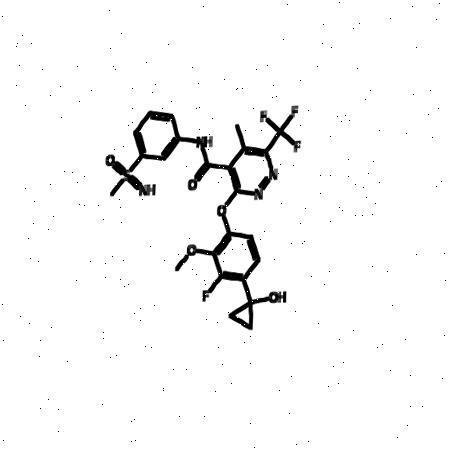 COc1c(Oc2nnc(C(F)(F)F)c(C)c2C(=O)Nc2cccc(S(C)(=N)=O)c2)ccc(C2(O)CC2)c1F